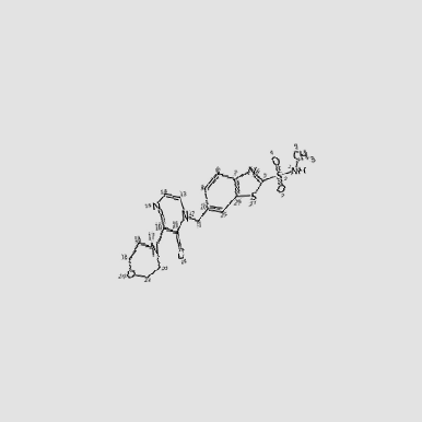 CNS(=O)(=O)c1nc2ccc(Cn3ccnc(N4CCOCC4)c3=O)cc2s1